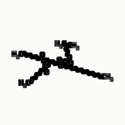 CCCCCCCCCCCCC(CCOC(=O)CCC(COC(=O)CCCCCCC)COC(=O)CCCCCCC)OC(=O)OCCCN(C)C